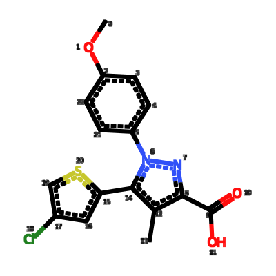 COc1ccc(-n2nc(C(=O)O)c(C)c2-c2cc(Cl)cs2)cc1